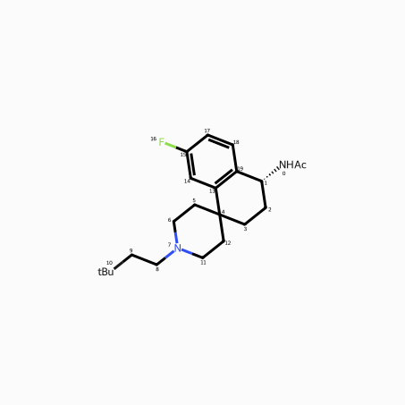 CC(=O)N[C@@H]1CCC2(CCN(CCC(C)(C)C)CC2)c2cc(F)ccc21